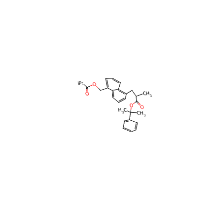 CC(C)C(=O)OCc1cccc2c(CC(C)C(=O)OC(C)(C)c3ccccc3)cccc12